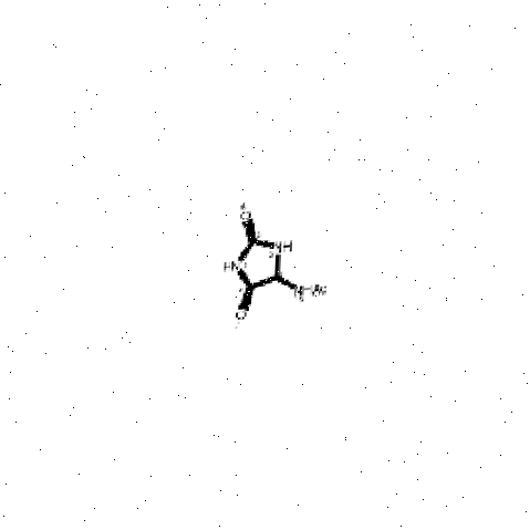 CC(=O)NC1NC(=O)NC1=O